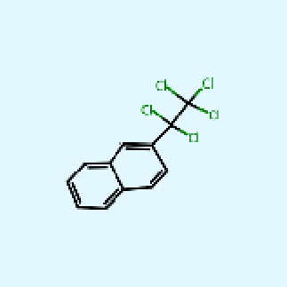 ClC(Cl)(Cl)C(Cl)(Cl)c1[c]c2ccccc2cc1